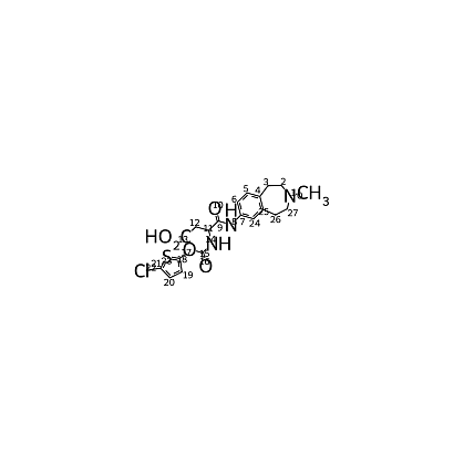 CN1CCc2ccc(NC(=O)C(CC(=O)O)NC(=O)Oc3ccc(Cl)s3)cc2CC1